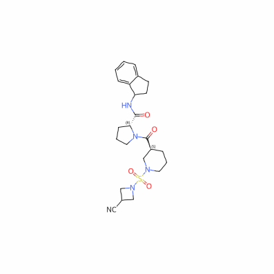 N#CC1CN(S(=O)(=O)N2CCC[C@H](C(=O)N3CCC[C@@H]3C(=O)NC3CCc4ccccc43)C2)C1